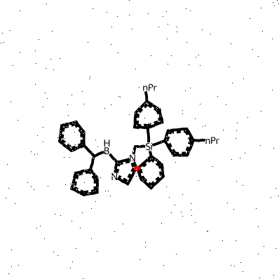 CCCc1ccc([Si](Cn2ccnc2BC(c2ccccc2)c2ccccc2)(c2ccccc2)c2ccc(CCC)cc2)cc1